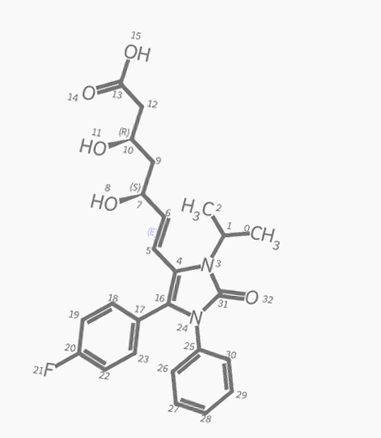 CC(C)n1c(/C=C/[C@@H](O)C[C@@H](O)CC(=O)O)c(-c2ccc(F)cc2)n(-c2ccccc2)c1=O